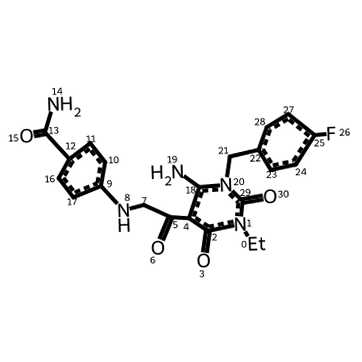 CCn1c(=O)c(C(=O)CNc2ccc(C(N)=O)cc2)c(N)n(Cc2ccc(F)cc2)c1=O